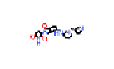 O=C1CCC(N2Cc3cc(CN[C@@H]4CCCN(Cc5cccnc5)C4)ccc3C2=O)C(=O)N1